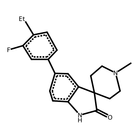 CCc1ccc(-c2ccc3c(c2)C2(CCN(C)CC2)C(=O)N3)cc1F